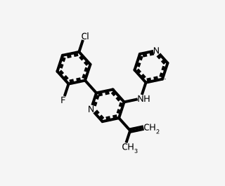 C=C(C)c1cnc(-c2cc(Cl)ccc2F)cc1Nc1[c]cncc1